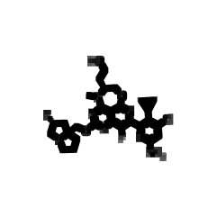 CN1c2nc(OC[C@@]34CCCN3C[C@H](F)C4)nc3c(F)c(-c4nc(N)cc(Cl)c4C4CC4)nc(c23)OC[C@@H]1CCO